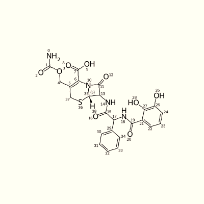 NC(=O)OCC1=C(C(=O)O)N2C(=O)C(NC(=O)C(NC(=O)c3cccc(O)c3O)c3ccccc3)[C@@H]2SC1